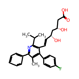 Cc1c(-c2ccccc2)nc(C(C)C)c(C=C[C@@H](O)C[C@@H](O)CC(=O)O)c1-c1ccc(F)cc1